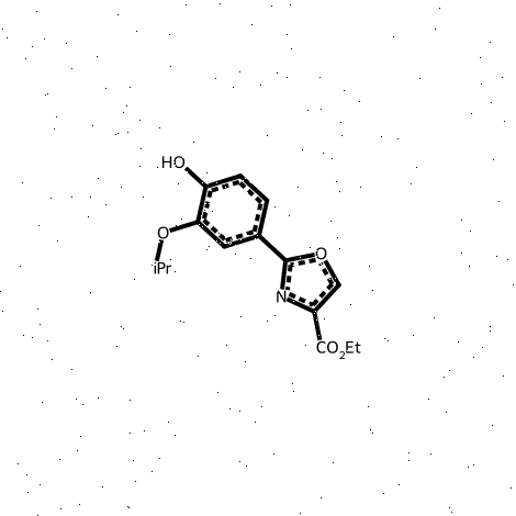 CCOC(=O)c1coc(-c2ccc(O)c(OC(C)C)c2)n1